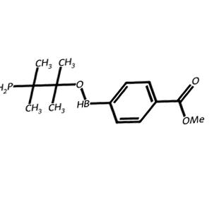 COC(=O)c1ccc(BOC(C)(C)C(C)(C)P)cc1